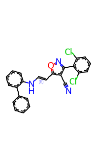 N#Cc1c(-c2c(Cl)cccc2Cl)noc1/C=C/Nc1ccccc1-c1ccccc1